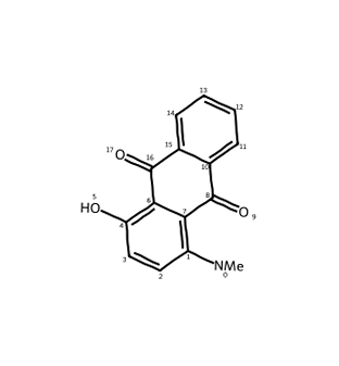 CNc1ccc(O)c2c1C(=O)c1ccccc1C2=O